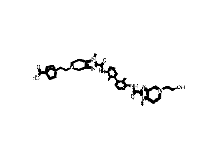 Cc1c(NC(=O)c2nc3c(n2C)CCN(CCO)C3)cccc1-c1cccc(NC(=O)c2nc3c(n2C)CCN(CCC24CCC(C(=O)O)(CC2)C4)C3)c1C